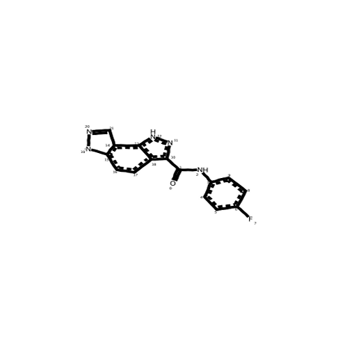 O=C(Nc1ccc(F)cc1)c1n[nH]c2c3c(ccc12)[N]N=C3